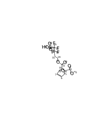 COC(=O)C1C2C=CC(O2)C1C(=O)OCCC(F)(F)C(F)(F)S(=O)(=O)O